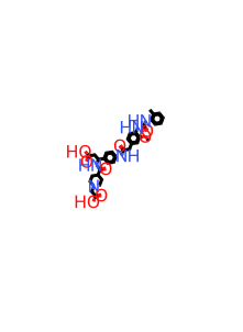 COc1cc(CC(=O)Nc2ccc(C(CC(=O)O)NC(=O)C3CCN(CC(=O)O)CC3)cc2)ccc1NC(=O)Nc1ccccc1C